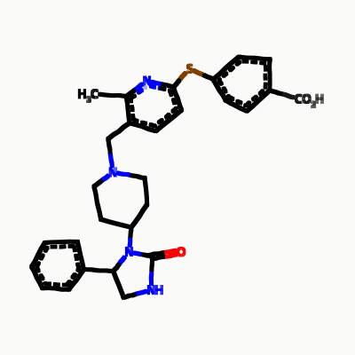 Cc1nc(Sc2ccc(C(=O)O)cc2)ccc1CN1CCC(N2C(=O)NCC2c2ccccc2)CC1